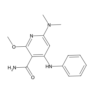 COc1nc(N(C)C)cc(Nc2ccccc2)c1C(N)=O